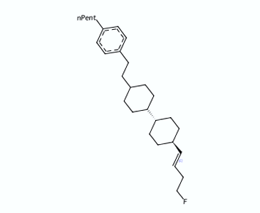 CCCCCc1ccc(CCC2CCC([C@H]3CC[C@H](/C=C/CCF)CC3)CC2)cc1